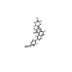 COc1ccc(-c2ccc3ncnc(N[C@@H](C)C(=O)N4CCN(C)CC4)c3c2)cn1